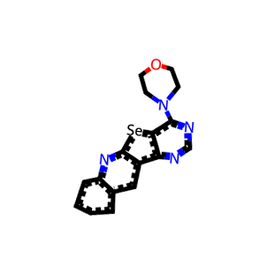 c1ccc2nc3[se]c4c(N5CCOCC5)ncnc4c3cc2c1